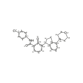 O=C(Nc1ccc(Cl)cc1)c1cccn(C2CCc3c2cccc3N2CCOCC2)c1=O